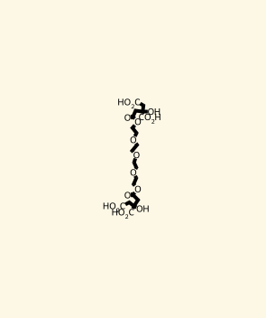 O=C(O)CC(O)(CC(=O)OCCOCCOCCOCCOC(=O)CC(O)(CC(=O)O)C(=O)O)C(=O)O